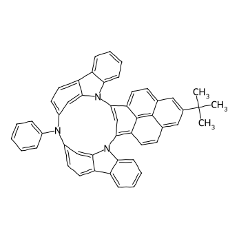 CC(C)(C)c1cc2ccc3c4c(ccc(c1)c24)c1cc3n2c3ccccc3c3ccc(cc32)n(-c2ccccc2)c2ccc3c4ccccc4n1c3c2